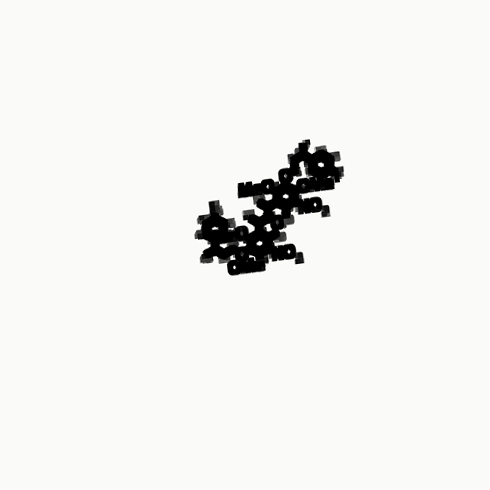 COc1c(OCCC(C)c2ccc(F)cc2)c(OC)c([N+](=O)[O-])c(C)c1C(C)C(=O)C(C)c1c(C)c([N+](=O)[O-])c(OC)c(OCCC(C)c2ccc(F)cc2)c1OC